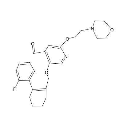 O=Cc1cc(OCCN2CCOCC2)ncc1OCC1=C(c2ccccc2F)CCCC1